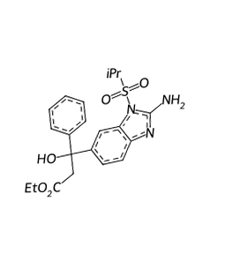 CCOC(=O)CC(O)(c1ccccc1)c1ccc2nc(N)n(S(=O)(=O)C(C)C)c2c1